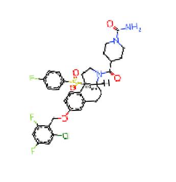 NC(=O)N1CCC(C(=O)N2CC[C@@]3(S(=O)(=O)c4ccc(F)cc4)c4ccc(OCc5c(F)cc(F)cc5Cl)cc4CC[C@@H]23)CC1